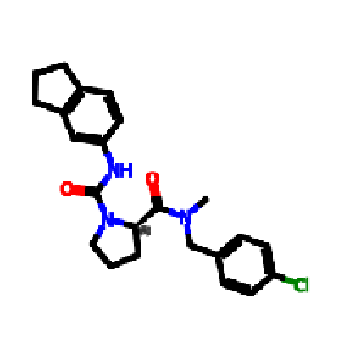 CN(Cc1ccc(Cl)cc1)C(=O)[C@H]1CCCN1C(=O)Nc1ccc2c(c1)CCC2